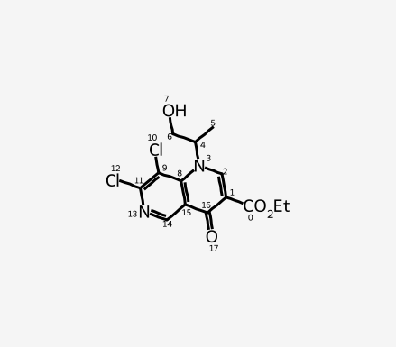 CCOC(=O)c1cn(C(C)CO)c2c(Cl)c(Cl)ncc2c1=O